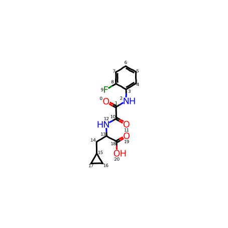 O=C(Nc1ccccc1F)C(=O)NC(CC1CC1)C(=O)O